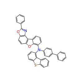 c1ccc(-c2ccc(N(c3cccc4c3oc3ccc5oc(-c6ccccc6)nc5c34)c3cccc4sc5ccccc5c34)cc2)cc1